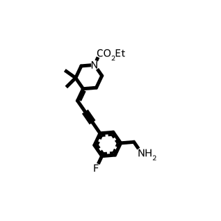 CCOC(=O)N1CC/C(=C\C#Cc2cc(F)cc(CN)c2)C(C)(C)C1